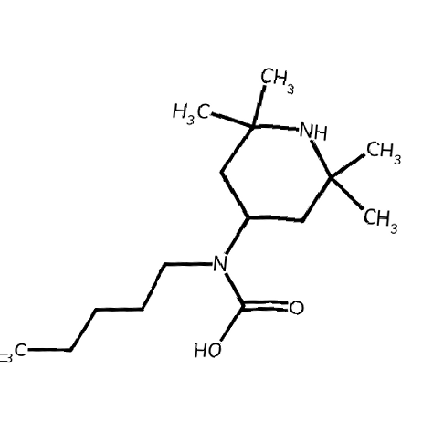 CCCCCN(C(=O)O)C1CC(C)(C)NC(C)(C)C1